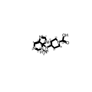 NN1C=NC=C2N=CNC21NC1CCN(C(=O)O)CC1